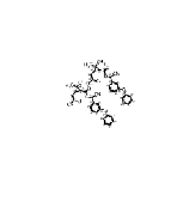 CC1(C)C(C=C(Cl)Cl)C1C(=O)OC(C#N)c1cccc(Oc2ccccc2)c1.CC1(C)C(C=C(Cl)Cl)C1C(=O)OC(C#N)c1cccc(Oc2ccccc2)c1